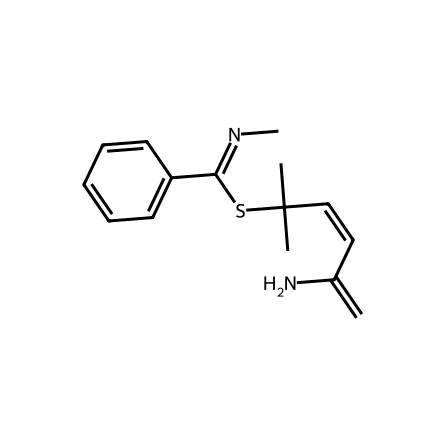 C=C(N)/C=C\C(C)(C)S/C(=N\C)c1ccccc1